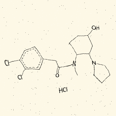 CN(C(=O)Cc1ccc(Cl)c(Cl)c1)C1CCC(O)CC1N1CCCC1.Cl